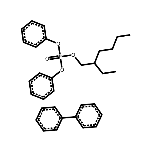 CCCCC(CC)COP(=O)(Oc1ccccc1)Oc1ccccc1.c1ccc(-c2ccccc2)cc1